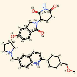 COC[C@H]1CC[C@@H](c2ccc3cc(CN4CC[C@H](Oc5ccc6c(c5)CN(C5CCC(=O)NC5=O)C6=O)C4)ccc3n2)CC1